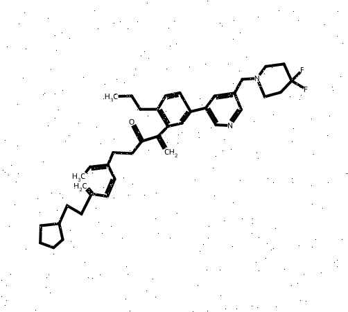 C=C(/C=C\C(=C/C)CCC(=O)C(=C)c1cc(-c2cncc(CN3CCC(F)(F)CC3)c2)ccc1CCC)CCC1CCCC1